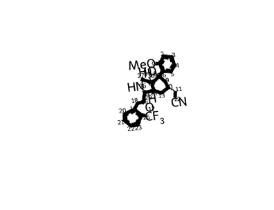 COc1ccccc1[C@]1(O)C[C@H](CC#N)C[C@H]2C(C(=O)Cc3ccccc3C(F)(F)F)NC[C@H]21